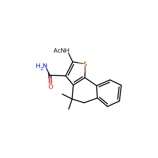 CC(=O)Nc1sc2c(c1C(N)=O)C(C)(C)Cc1ccccc1-2